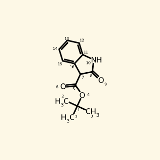 CC(C)(C)OC(=O)C1C(=O)Nc2ccccc21